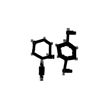 C1COCCN1.COc1ccc(OC)cc1.N#N